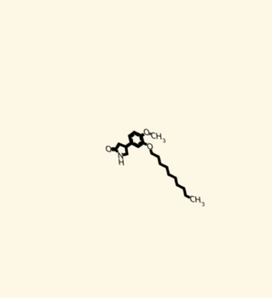 CCCCCCCCCCOc1cc(C2CNC(=O)C2)ccc1OC